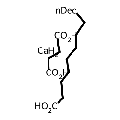 CCCCCCCCCCCCCCCCCC(=O)O.O=C(O)CCC(=O)O.[CaH2]